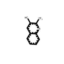 N#Cc1cc2ccccc2nc1C(F)(F)F